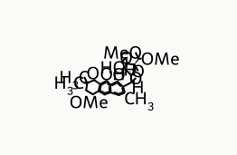 COc1c2c(c(O)c3c4c(c(C)cc13)[C@@H]1O[C@@]3(C(OC)OC)O[C@@H]1[C@@](O)(O4)[C@@]31CO1)C(=O)C(C)(C)CC2